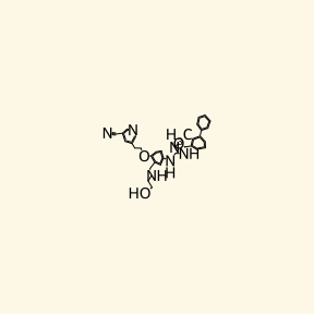 Cc1c(-c2ccccc2)cccc1C1NC(Nc2ccc(OCCc3cncc(C#N)c3)c(CNCCO)c2)=NO1